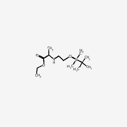 CCOC(=O)C(C)NCCO[Si](C)(C)C(C)(C)C